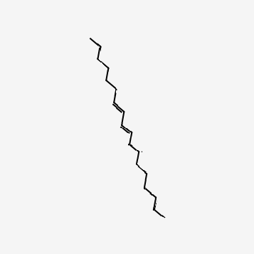 CCCCCC[CH]CC=CC=CCCCCCC